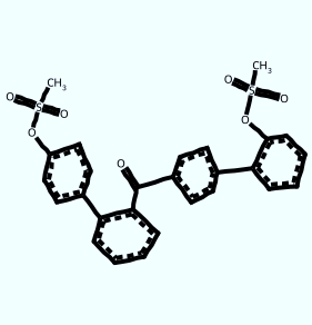 CS(=O)(=O)Oc1ccc(-c2ccccc2C(=O)c2ccc(-c3ccccc3OS(C)(=O)=O)cc2)cc1